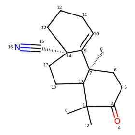 CC1(C)C(=O)CC[C@]2(C)C3=CCCC[C@]3(C#N)CCC12